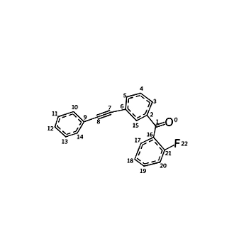 O=C(c1cccc(C#Cc2ccccc2)c1)c1ccccc1F